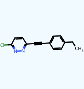 CCc1ccc(C#Cc2ccc(Cl)nn2)cc1